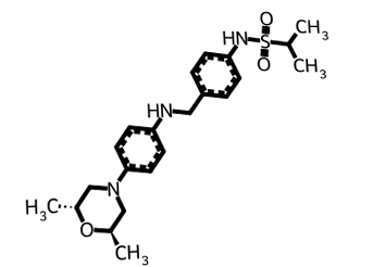 CC(C)S(=O)(=O)Nc1ccc(CNc2ccc(N3C[C@@H](C)O[C@H](C)C3)cc2)cc1